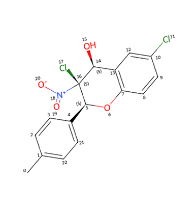 Cc1ccc([C@@H]2Oc3ccc(Cl)cc3[C@H](O)[C@@]2(Cl)[N+](=O)[O-])cc1